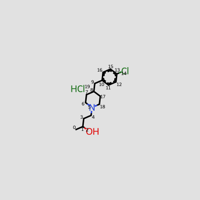 CC(O)CCN1CCC(Cc2ccc(Cl)cc2)CC1.Cl